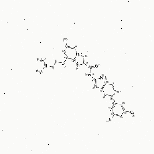 CN(C)CCOc1cc(F)cn2cc(C(=O)Nc3nc4cc(-c5cc(F)cc(Cl)c5)ccc4[nH]3)nc12